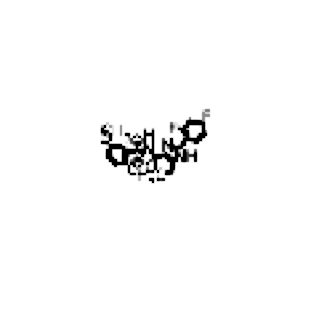 CCc1[nH]c(-c2ccc(F)cc2F)nc1C(=O)NS(=O)(=O)c1cc(OC)ccc1Cl